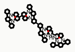 C1=CC(n2c3ccccc3c3ccc4c5ccccc5n(-c5ccccc5)c4c32)NC(c2cccc(-n3c4ccccc4c4ccc5c6cc(-c7ccc8c(c7)c7ccc9c%10ccccc%10n(-c%10ccc(-c%11ccc(-n%12c%13ccccc%13c%13ccc%14c%15ccccc%15n(-c%15ccccc%15)c%14c%13%12)cc%11)cc%10)c9c7n8-c7ccccc7)ccc6n(-c6ccccc6)c5c43)n2)=C1